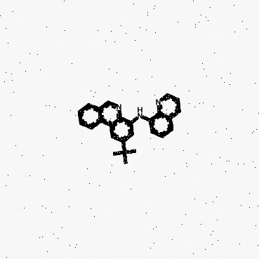 CC(C)(C)c1cc(Nc2cccc3cccnc23)c2ncc3ccccc3c2c1